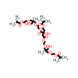 C=C(C)C(=O)OCCOCC(C)(CO)COCCOC(=O)CC(O)(CCOC(=O)C(=C)C)C(=O)OCCOCC(C)(CO)COCCOC(=O)C(=C)C